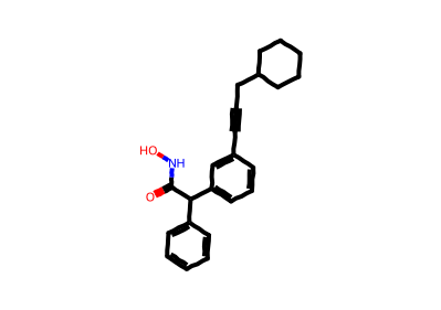 O=C(NO)C(c1ccccc1)c1cccc(C#CCC2CCCCC2)c1